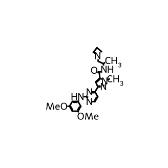 COc1cc(Nc2nccc(-c3cc(C(=O)NC(C)CN4CCC4)n(C)n3)n2)cc(OC)c1